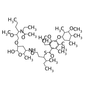 CCCC(C(COC1CC(NOCCC(SC(=O)c2c(C)c(C)c(OC3CC(C)C(C)C(OC)C3C)c(OC)c2CC)C(C)CC)C(C)OC1O)OC)N(CC)C(C)=O